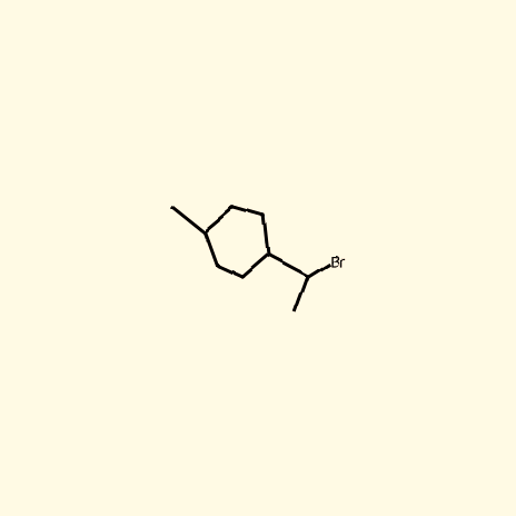 CC1CCC(C(C)Br)CC1